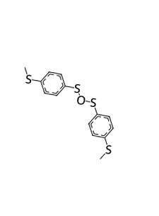 CSc1ccc(SOSc2ccc(SC)cc2)cc1